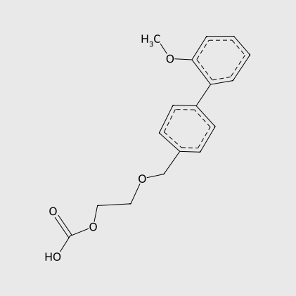 COc1ccccc1-c1ccc(COCCOC(=O)O)cc1